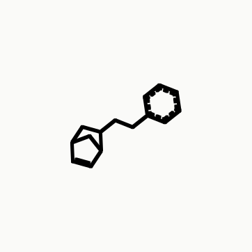 C1=CC2CC1CC2CCc1ccccc1